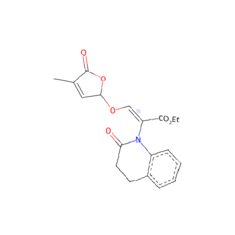 CCOC(=O)/C(=C/OC1C=C(C)C(=O)O1)N1C(=O)CCc2ccccc21